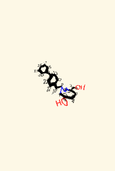 OC[C@H]1CC[C@@H](O)CN1CCc1ccc(-c2ccccc2)cc1